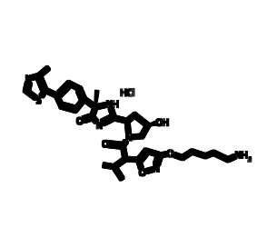 Cc1ncsc1-c1ccc([C@]2(C)NC(C3C[C@@H](O)CN3C(=O)C(c3cc(OCCCCCN)no3)C(C)C)=NC2=O)cc1.Cl